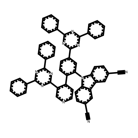 N#Cc1ccc2c(c1)c1cc(C#N)ccc1n2-c1cc(-c2nc(-c3ccccc3)nc(-c3ccccc3)n2)ccc1-c1ccncc1-c1nc(-c2ccccc2)nc(-c2ccccc2)n1